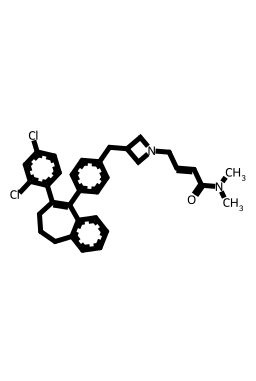 CN(C)C(=O)C=CCN1CC(Cc2ccc(C3=C(c4ccc(Cl)cc4Cl)CCCc4ccccc43)cc2)C1